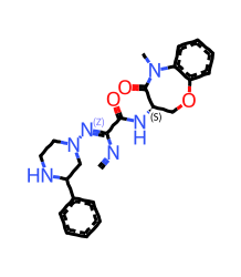 C=N/C(=N\N1CCNC(c2ccccc2)C1)C(=O)N[C@H]1COc2ccccc2N(C)C1=O